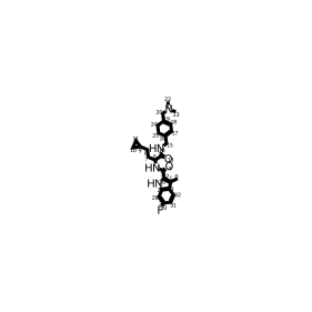 Cc1c(C(=O)NC(CCC2CC2)C(=O)NCC2=CC=C(CN(C)C)CC2)[nH]c2cc(F)ccc12